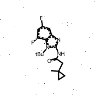 CC1(CC(=O)Nc2nc3cc(F)cc(F)c3n2C(C)(C)C)CC1